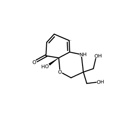 O=C1C=C[C]=C2NC(CO)(CO)CO[C@]12O